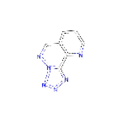 c1cnc2c(c1)cnn1nnnc21